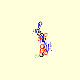 O=C(Nc1ccc(N2C(=O)Cc3cc(NCCN4CCCC4)ccc3C2=O)nc1)NS(=O)(=O)c1ccc(Cl)s1